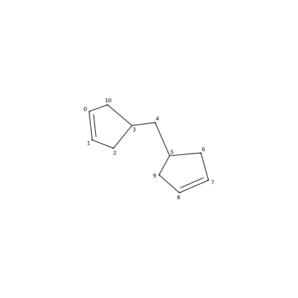 C1=CCC(CC2CC=CC2)C1